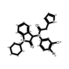 O=C1C(N(C(=O)Cc2cccs2)c2ccc(Br)c(Cl)c2)c2ccccc2N1C1CCCCC1